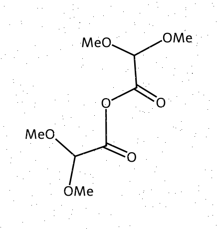 COC(OC)C(=O)OC(=O)C(OC)OC